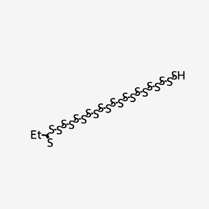 CCC(=S)SSSSSSSSSSSSSSSSSSSSS